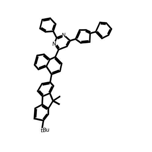 CC(C)(C)c1ccc2c(c1)C(C)(C)c1cc(-c3ccc(-c4cc(-c5ccc(-c6ccccc6)cc5)nc(-c5ccccc5)n4)c4ccccc34)ccc1-2